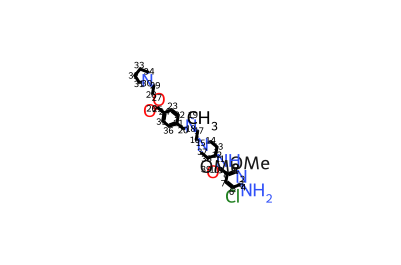 COc1nc(N)c(Cl)cc1C(=O)N[C@@H]1CCN(CCN(C)Cc2ccc(C(=O)OCCN3CCCC3)cc2)C[C@@H]1OC